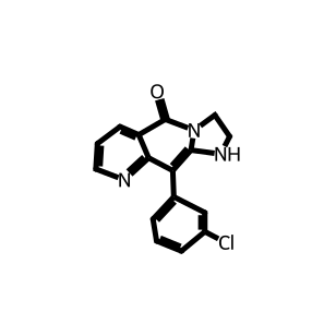 O=c1c2cccnc2c(-c2cccc(Cl)c2)c2n1CCN2